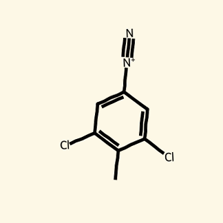 Cc1c(Cl)cc([N+]#N)cc1Cl